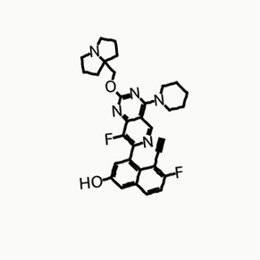 C#Cc1c(F)ccc2cc(O)cc(-c3ncc4c(N5CCCCC5)nc(OCC56CCCN5CCC6)nc4c3F)c12